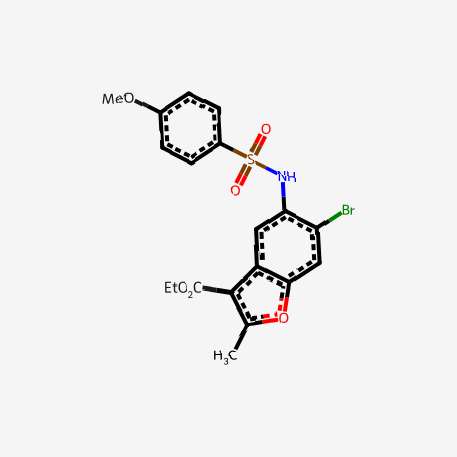 CCOC(=O)c1c(C)oc2cc(Br)c(NS(=O)(=O)c3ccc(OC)cc3)cc12